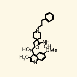 COc1ccc2ncc(C)c([C@H](O)CCC3(C(=O)NO)CCN(CCCc4ccccc4)CC3)c2c1